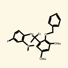 CCC(C)(Pc1ccc(F)cc1N(C)C)c1cc(OC)cc(OC)c1OCc1ccccc1